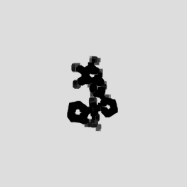 CC(C)c1nc2sc([C@H]3CCCN3S(=O)(=O)c3ccccc3[N+](=O)[O-])nn2c(=O)c1Cl